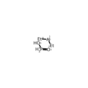 C[CH2][Al][CH2]C.O=[PH2]O